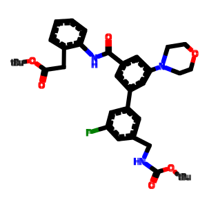 CC(C)(C)OC(=O)Cc1ccccc1NC(=O)c1cc(-c2cc(F)cc(CNC(=O)OC(C)(C)C)c2)cc(N2CCOCC2)c1